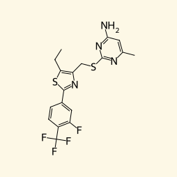 CCc1sc(-c2ccc(C(F)(F)F)c(F)c2)nc1CSc1nc(C)cc(N)n1